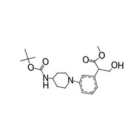 COC(=O)C(CO)c1cccc(N2CCC(NC(=O)OC(C)(C)C)CC2)c1